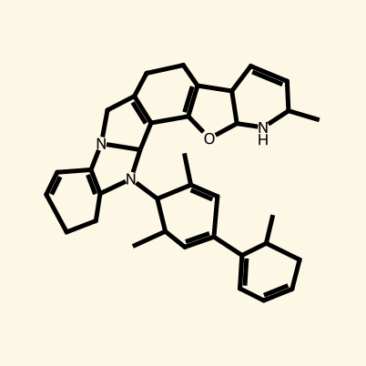 CC1=CC(C2=CC=CCC2C)=CC(C)C1N1C2=C(C=CCC2)N2CC3=C(C4=C(CC3)C3C=CC(C)NC3O4)C21